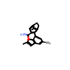 CC1=Cc2cc(C(C)(C)C)cc(-c3c(C([NH])=O)cc4c(C)c3CC4)c2C1